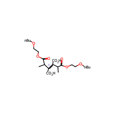 CCCCOCCOC(=O)C(C)/C(C(=O)O)=C(\C(=O)O)C(C)C(=O)OCCOCCCC